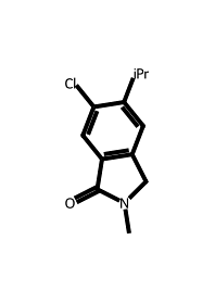 CC(C)c1cc2c(cc1Cl)C(=O)N(C)C2